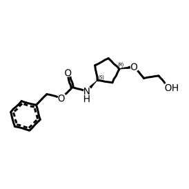 O=C(N[C@H]1CC[C@@H](OCCO)C1)OCc1ccccc1